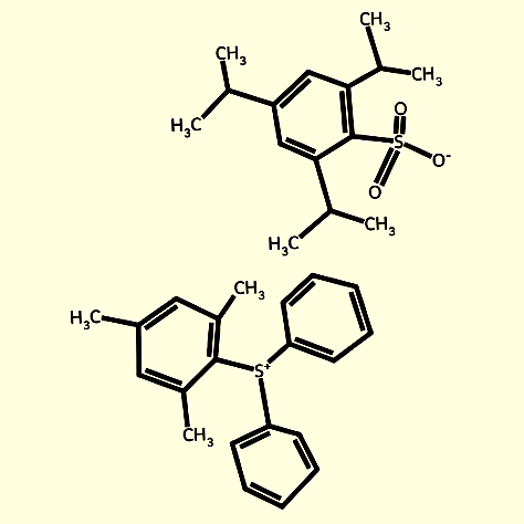 CC(C)c1cc(C(C)C)c(S(=O)(=O)[O-])c(C(C)C)c1.Cc1cc(C)c([S+](c2ccccc2)c2ccccc2)c(C)c1